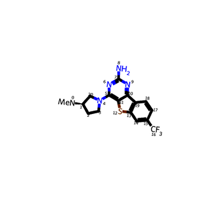 CN[C@@H]1CCN(c2nc(N)nc3c2sc2cc(C(F)(F)F)ccc23)C1